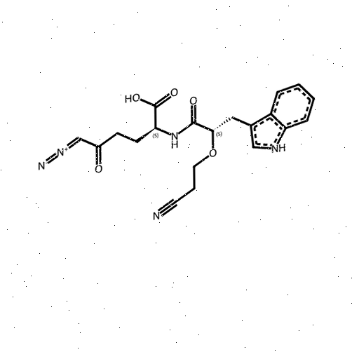 N#CCCO[C@@H](Cc1c[nH]c2ccccc12)C(=O)N[C@@H](CCC(=O)C=[N+]=[N-])C(=O)O